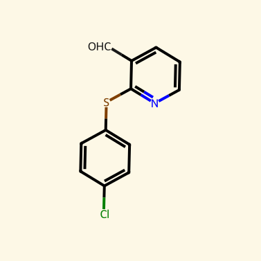 O=Cc1cccnc1Sc1ccc(Cl)cc1